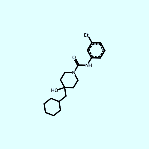 CCc1cccc(NC(=O)N2CCC(O)(CC3CCCCC3)CC2)c1